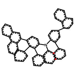 c1ccc(-c2cc(-c3cccc4ccccc34)ccc2N(c2ccccc2)c2ccc(-c3cc4ccccc4c4ccccc34)c(-c3ccccc3)c2-c2ccccc2)cc1